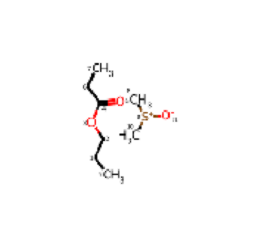 CCCOC(=O)CC.C[S+](C)[O-]